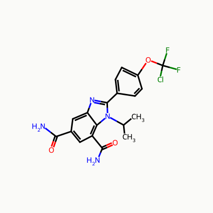 CC(C)n1c(-c2ccc(OC(F)(F)Cl)cc2)nc2cc(C(N)=O)cc(C(N)=O)c21